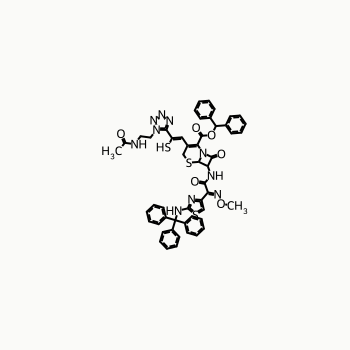 CON=C(C(=O)NC1C(=O)N2C(C(=O)OC(c3ccccc3)c3ccccc3)=C(C=C(S)c3nnnn3CCNC(C)=O)CSC12)c1csc(NC(c2ccccc2)(c2ccccc2)c2ccccc2)n1